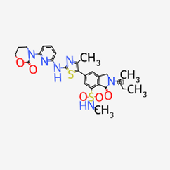 CC[C@H](C)N1Cc2cc(-c3sc(Nc4cccc(N5CCCOC5=O)n4)nc3C)cc(S(=O)(=O)NC)c2C1=O